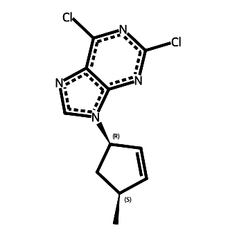 C[C@@H]1C=C[C@H](n2cnc3c(Cl)nc(Cl)nc32)C1